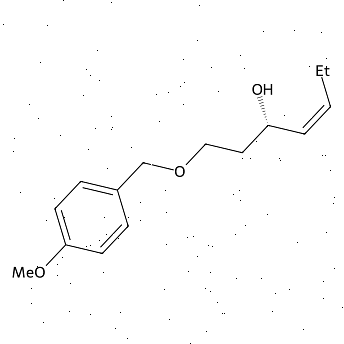 CC/C=C\[C@@H](O)CCOCc1ccc(OC)cc1